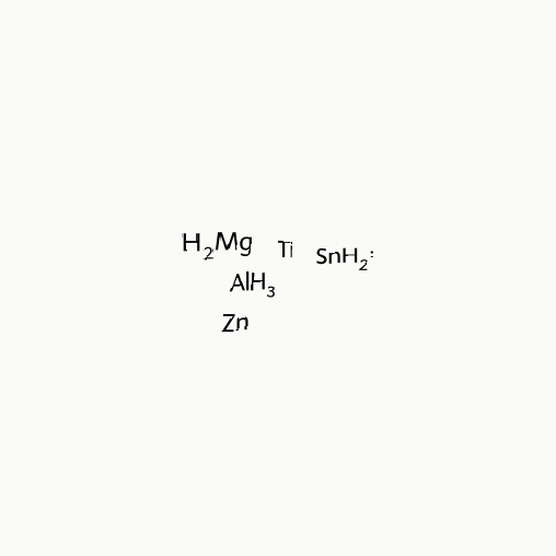 [AlH3].[MgH2].[SnH2].[Ti].[Zn]